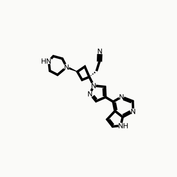 N#CC[C@]1(n2cc(-c3ncnc4[nH]ccc34)cn2)C[C@@H](N2CCNCC2)C1